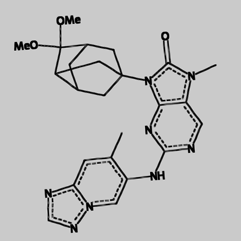 COC1(OC)C2CC3CC(n4c(=O)n(C)c5cnc(Nc6cn7ncnc7cc6C)nc54)(C2)CC31